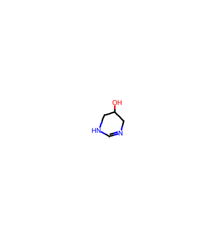 OC1CN=[C]NC1